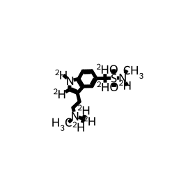 [2H]c1c(CCN(C)C([2H])([2H])[2H])c2cc(C([2H])([2H])S(=O)(=O)N([2H])C)ccc2n1[2H]